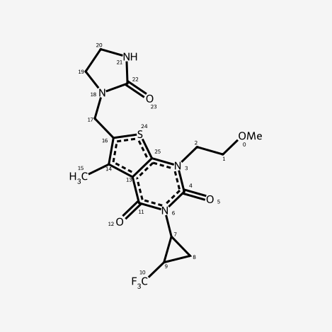 COCCn1c(=O)n(C2CC2C(F)(F)F)c(=O)c2c(C)c(CN3CCNC3=O)sc21